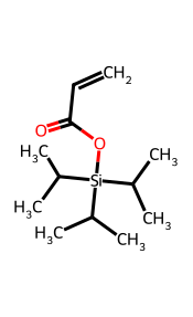 C=CC(=O)O[Si](C(C)C)(C(C)C)C(C)C